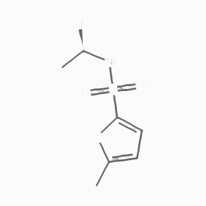 Cc1ccc(S(=O)(=O)N[C@@H](C)C(C)C)s1